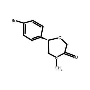 CN1C[C@@H](c2ccc(Br)cc2)OCC1=O